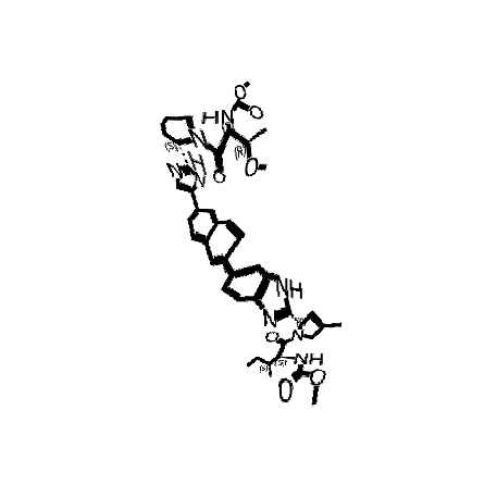 CC[C@H](C)[C@H](NC(=O)OC)C(=O)N1CC(C)=C[C@H]1c1nc2ccc(-c3ccc4cc(-c5cnc([C@@H]6CCCN6C(=O)[C@@H](NC(=O)OC)[C@@H](C)OC)[nH]5)ccc4c3)cc2[nH]1